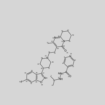 CC(C)NNC(=O)c1ccncc1.Cc1nc2n(c(=O)c1CCN1CCC(c3noc4cc(F)ccc34)CC1)CCCC2